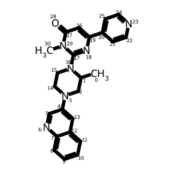 CC1CN(c2cnc3ccccc3c2)CCN1c1nc(-c2ccncc2)cc(=O)n1C